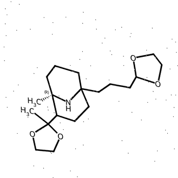 CC1(C2CCC3(CCCC4OCCO4)CCC[C@@]2(C)N3)OCCO1